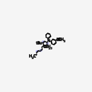 C=C/C=C\C=C/CC(=C)/C(=C\C(=C/C)N(c1ccccc1)c1cccc(BC)c1)C(C)(C)C